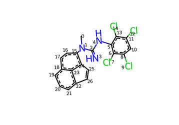 CN(C(=N)Nc1c(Cl)c(Cl)cc(Cl)c1Cl)c1ccc2cccc3c2c1C=C3